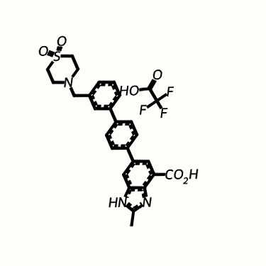 Cc1nc2c(C(=O)O)cc(-c3ccc(-c4cccc(CN5CCS(=O)(=O)CC5)c4)cc3)cc2[nH]1.O=C(O)C(F)(F)F